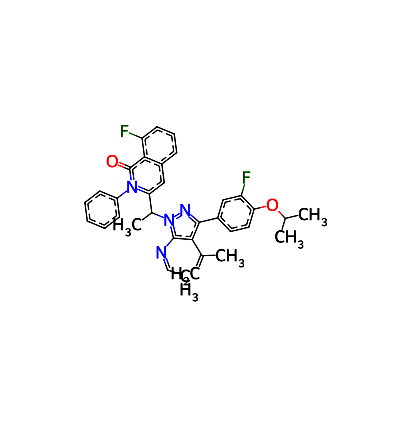 C=C(C)c1c(-c2ccc(OC(C)C)c(F)c2)nn(C(C)c2cc3cccc(F)c3c(=O)n2-c2ccccc2)c1/N=C\C